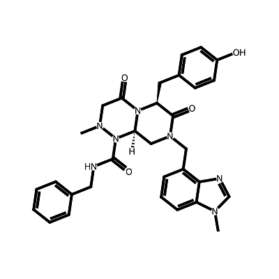 CN1CC(=O)N2[C@@H](CN(Cc3cccc4c3ncn4C)C(=O)[C@@H]2Cc2ccc(O)cc2)N1C(=O)NCc1ccccc1